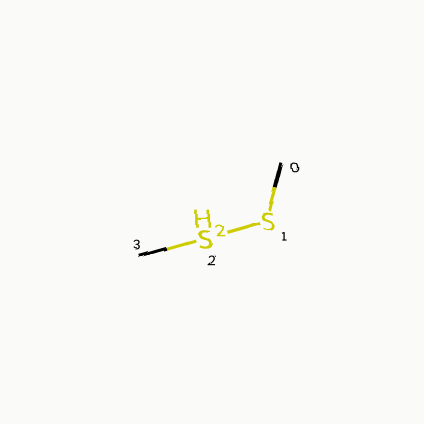 CS[SH2]C